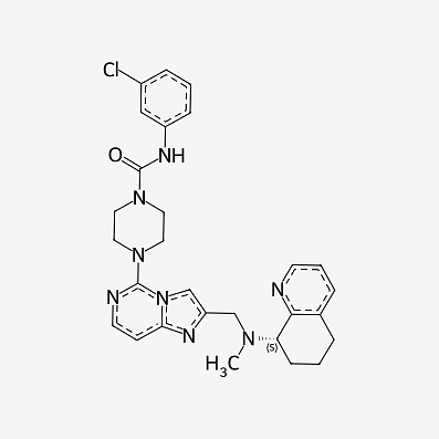 CN(Cc1cn2c(N3CCN(C(=O)Nc4cccc(Cl)c4)CC3)nccc2n1)[C@H]1CCCc2cccnc21